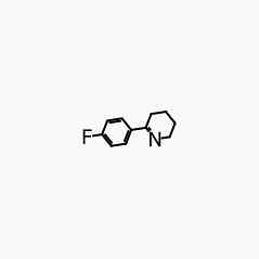 Fc1ccc(C2=NCCCC2)cc1